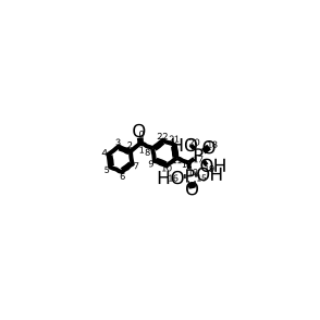 O=C(c1ccccc1)c1ccc(C(P(=O)(O)O)P(=O)(O)O)cc1